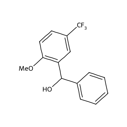 COc1ccc(C(F)(F)F)cc1C(O)c1ccccc1